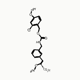 CCCOc1ccc(COC(=O)NCc2cccc(C[C@H](OC(C)C)C(=O)O)c2)c(Cl)c1